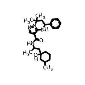 CC1CCCC(O)(CC(C)NC(=O)c2cnn3c2NC(c2ccccc2)CC3(C)C)C1